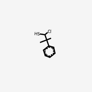 CC(C)(c1ccccc1)C(S)Cl